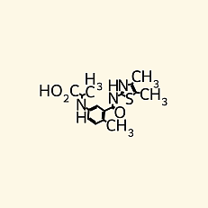 Cc1ccc(NC(C)C(=O)O)cc1C(=O)Nc1nc(C)c(C)s1